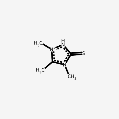 Cc1n(C)c(=S)[nH][n+]1C